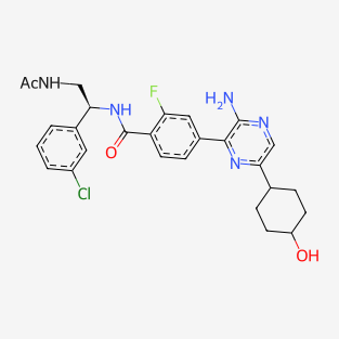 CC(=O)NC[C@@H](NC(=O)c1ccc(-c2nc(C3CCC(O)CC3)cnc2N)cc1F)c1cccc(Cl)c1